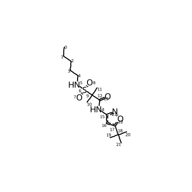 CCCCCNS(=O)(=O)C(C)(C)C(=O)Nc1cc(C(C)(C)C)on1